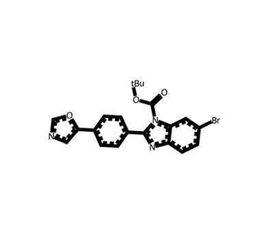 CC(C)(C)OC(=O)n1c(-c2ccc(-c3cnco3)cc2)nc2ccc(Br)cc21